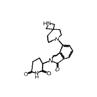 O=C1CCC(N2Cc3c(cccc3N3CCC4(CC3)CNC4)C2=O)C(=O)N1